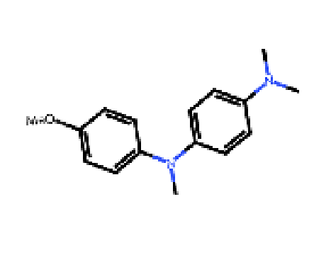 COc1ccc(N(C)c2ccc(N(C)C)cc2)cc1